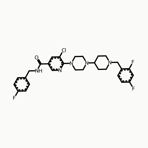 O=C(NCc1ccc(F)cc1)c1cnc(N2CCN(C3CCN(Cc4ccc(F)cc4F)CC3)CC2)c(Cl)c1